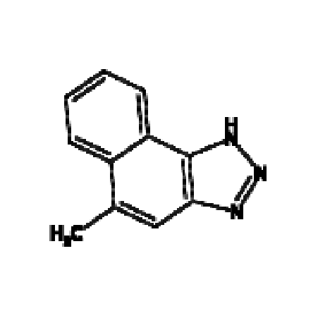 Cc1cc2nn[nH]c2c2ccccc12